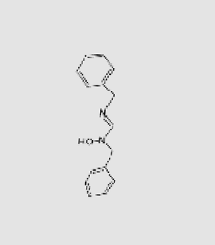 ON(C=NCc1ccccc1)Cc1ccccc1